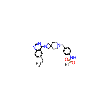 CCS(=O)(=O)Nc1ccc(CN2CCC3(CC2)CN(c2ncnc4ccc(CC(F)(F)F)cc24)C3)cc1